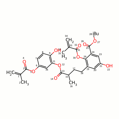 C=C(C)C(=O)Oc1ccc(O)c(OC(=O)C(C)CCc2cc(O)cc(C(=O)OC(C)CC)c2OC(=O)C(=C)C)c1